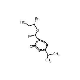 CC[C@@H](CO)O[C@H](F)n1ccc(N(C)C)nc1=O